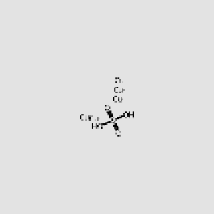 O=S(=O)(O)O.[Cu].[Cu].[Cu].[Cu].[Cu]